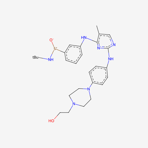 Cc1cnc(Nc2ccc(N3CCN(CCO)CC3)cc2)nc1Nc1cccc([S+]([O-])NC(C)(C)C)c1